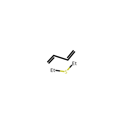 C=CC=C.CCSCC